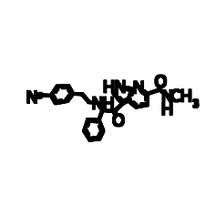 CNC(=O)c1ccc2c(C(=O)C(NCCc3ccc(C#N)cc3)c3ccccc3)c[nH]c2n1